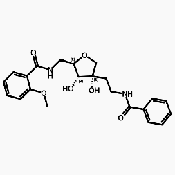 COc1ccccc1C(=O)NC[C@H]1OC[C@@](O)(CCNC(=O)c2ccccc2)[C@@H]1O